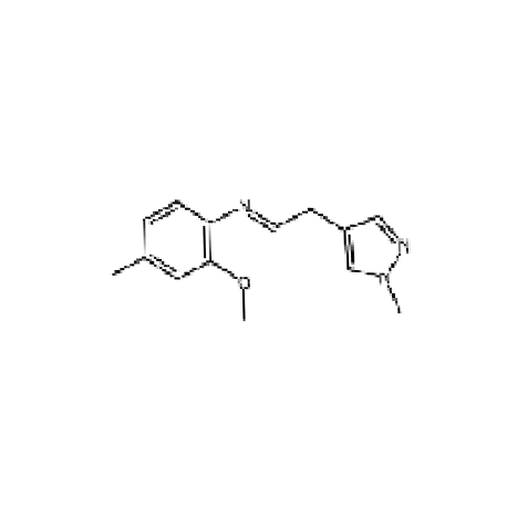 COc1cc(C)ccc1N=CCc1cnn(C)c1